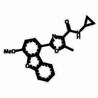 COc1ccc(-c2nc(C(=O)NC3CC3)c(C)o2)c2c1oc1ccccc12